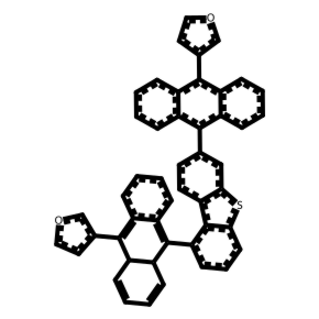 C1=CC2C(c3ccoc3)=c3ccccc3=C(c3cccc4sc5cc(-c6c7ccccc7c(-c7ccoc7)c7ccccc67)ccc5c34)C2C=C1